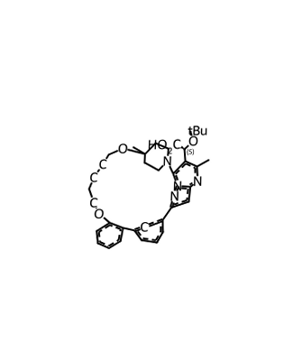 Cc1nc2cc3nn2c(c1[C@H](OC(C)(C)C)C(=O)O)N1CCC(C)(CC1)OCCCCCOc1ccccc1-c1cccc-3c1